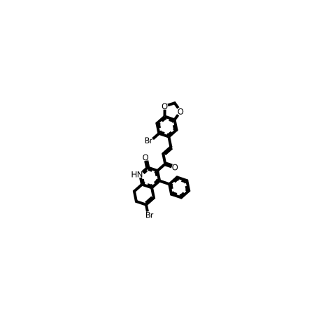 O=C(C=Cc1cc2c(cc1Br)OCO2)c1c(-c2ccccc2)c2c([nH]c1=O)CCC(Br)=C2